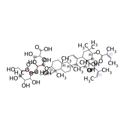 C/C=C(/C)C(=O)O[C@H]1[C@H](OC(=O)/C(C)=C\C)[C@@]2(CO)C(CC1(C)C)C1=CCC3[C@@]4(C)CC[C@H](O[C@@H]5OC(C(=O)O)[C@@H](O)C(OC(C)O[C@@H](CO)C(O)CO)C5O[C@@H]5OC(CO)[C@@H](O)C(O)C5O)[C@](C)(CO)C4CC[C@@]3(C)[C@]1(C)C[C@H]2O